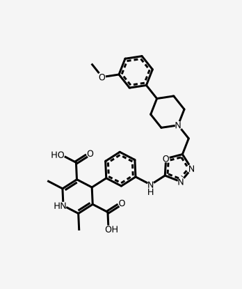 COc1cccc(C2CCN(Cc3nnc(Nc4cccc(C5C(C(=O)O)=C(C)NC(C)=C5C(=O)O)c4)o3)CC2)c1